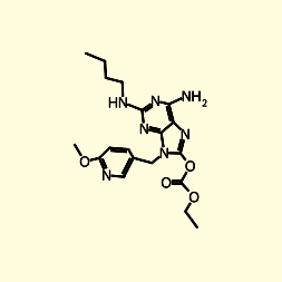 CCCCNc1nc(N)c2nc(OC(=O)OCC)n(Cc3ccc(OC)nc3)c2n1